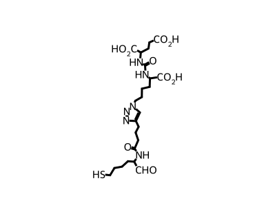 O=CC(CCCCS)NC(=O)CCCc1cn(CCCCC(NC(=O)NC(CCC(=O)O)C(=O)O)C(=O)O)nn1